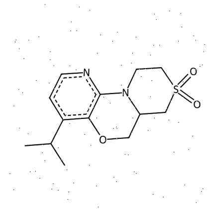 CC(C)c1ccnc2c1OCC1CS(=O)(=O)CCN21